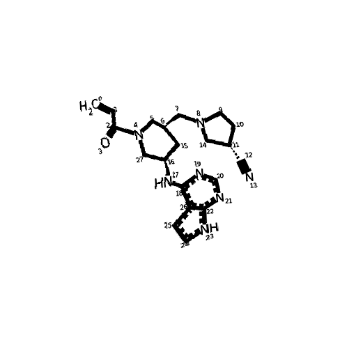 C=CC(=O)N1C[C@@H](CN2CC[C@H](C#N)C2)C[C@@H](Nc2ncnc3[nH]ccc23)C1